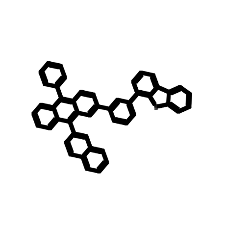 c1ccc(-c2c3ccccc3c(-c3ccc4ccccc4c3)c3cc(-c4cccc(-c5cccc6c5sc5ccccc56)c4)ccc23)cc1